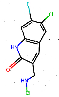 O=c1[nH]c2cc(F)c(Cl)cc2cc1CNCl